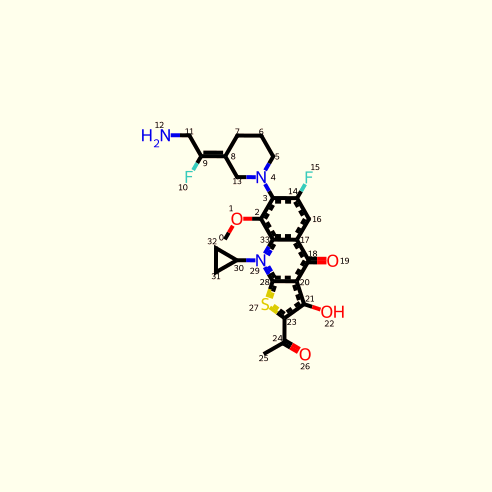 COc1c(N2CCCC(=C(F)CN)C2)c(F)cc2c(=O)c3c(O)c(C(C)=O)sc3n(C3CC3)c12